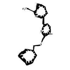 Cc1cccc(-c2c[nH]c(SCc3ccccc3)n2)n1